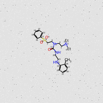 CCN(CC)CCN(CCS(=O)(=O)c1ccccc1)C(=O)NCCNc1ccccc1C